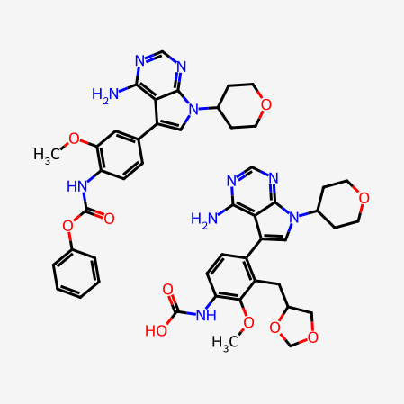 COc1c(NC(=O)O)ccc(-c2cn(C3CCOCC3)c3ncnc(N)c23)c1CC1COCO1.COc1cc(-c2cn(C3CCOCC3)c3ncnc(N)c23)ccc1NC(=O)Oc1ccccc1